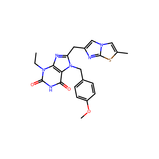 CCn1c(=O)[nH]c(=O)c2c1nc(Cc1cn3cc(C)sc3n1)n2Cc1ccc(OC)cc1